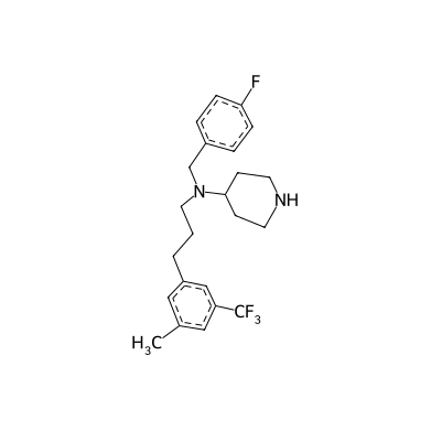 Cc1cc(CCCN(Cc2ccc(F)cc2)C2CCNCC2)cc(C(F)(F)F)c1